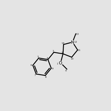 COC1(Cc2ccccc2)CCN(C)C1